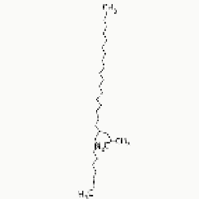 CCCCCCCCCCCCCCCCCCCC(CCCCCCCCC)CC(C)C